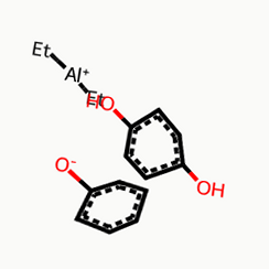 C[CH2][Al+][CH2]C.Oc1ccc(O)cc1.[O-]c1ccccc1